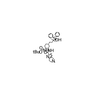 CN1CCc2nc(C(=O)N[C@H]3C[C@H](CCC(C)(C)[Si](O)(c4ccccc4)c4ccccc4)CC[C@@H]3NC(=O)OC(C)(C)C)sc2C1